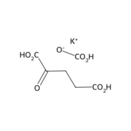 O=C(O)CCC(=O)C(=O)O.O=C([O-])O.[K+]